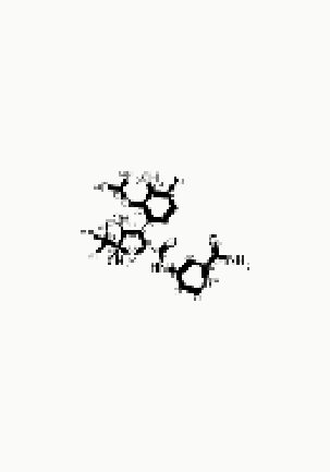 Cc1c(F)ccc([C@@H]2[C@H](C(=O)Nc3ccnc(C(N)=O)c3)O[C@](C)(C(F)(F)F)[C@H]2C)c1OC(F)F